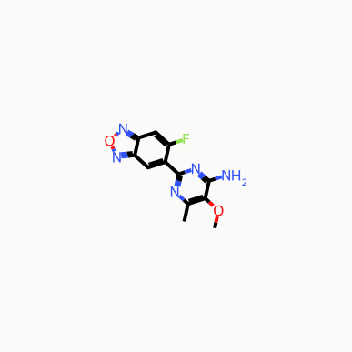 COc1c(C)nc(-c2cc3nonc3cc2F)nc1N